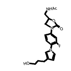 CC(=O)NCC1CN(c2ccc(-n3ccc(CCCO)c3)c(F)c2)C(=O)O1